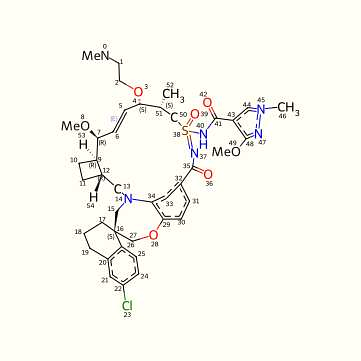 CNCCO[C@H]1/C=C/[C@H](OC)[C@@H]2CC[C@H]2CN2C[C@@]3(CCCc4cc(Cl)ccc43)COc3ccc(cc32)C(=O)N=S(=O)(NC(=O)c2cn(C)nc2OC)C[C@H]1C